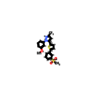 CCOc1cccc(-n2nc(C(F)(F)F)cc2-c2ccc(-c3cccc(S(C)(=O)=O)c3)s2)c1